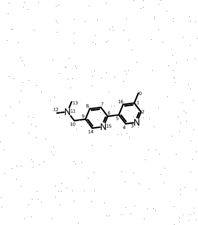 Cc1cncc(-c2ccc(CN(C)C)cn2)c1